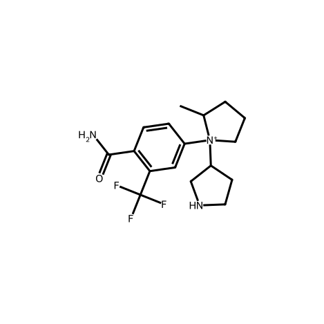 CC1CCC[N+]1(c1ccc(C(N)=O)c(C(F)(F)F)c1)C1CCNC1